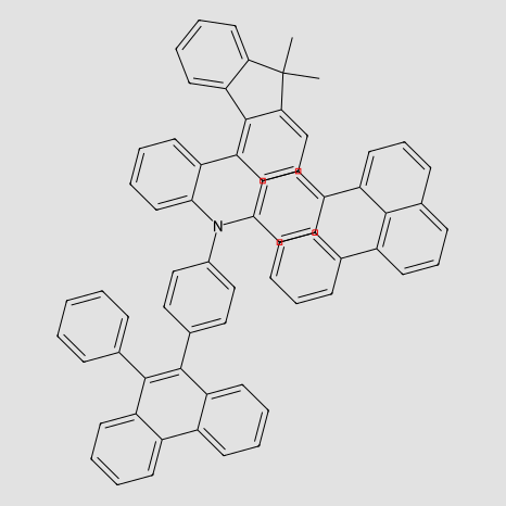 CC1(C)c2ccccc2-c2c(-c3ccccc3N(c3ccc(-c4c(-c5ccccc5)c5ccccc5c5ccccc45)cc3)c3ccc(-c4cccc5cccc(-c6ccccc6)c45)cc3)cccc21